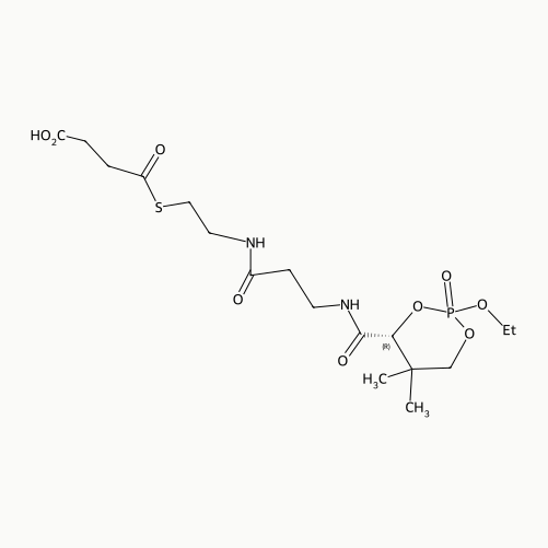 CCOP1(=O)OCC(C)(C)[C@H](C(=O)NCCC(=O)NCCSC(=O)CCC(=O)O)O1